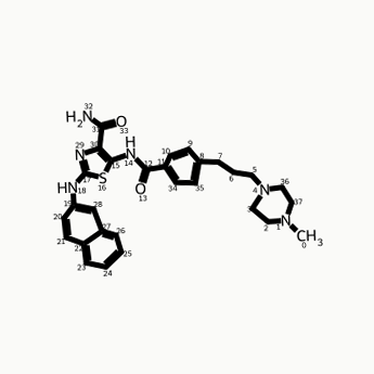 CN1CCN(CCCc2ccc(C(=O)Nc3sc(Nc4ccc5ccccc5c4)nc3C(N)=O)cc2)CC1